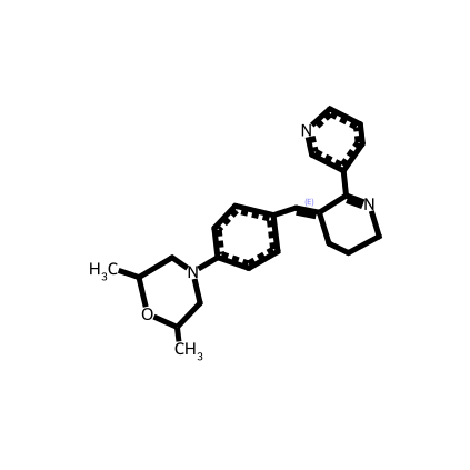 CC1CN(c2ccc(/C=C3\CCCN=C3c3cccnc3)cc2)CC(C)O1